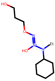 CCN(C1CCCCC1)/[N+](O)=N/OCCCO